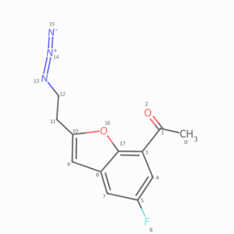 CC(=O)c1cc(F)cc2cc(CCN=[N+]=[N-])oc12